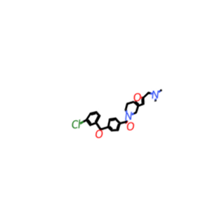 CN(C)Cc1cc2c(o1)CCN(C(=O)c1ccc(C(=O)c3cccc(Cl)c3)cc1)C2